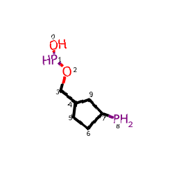 OPOCC1CCC(P)C1